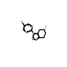 C[C@@H]1CCc2nnn(-c3ncc(F)cn3)c2C1